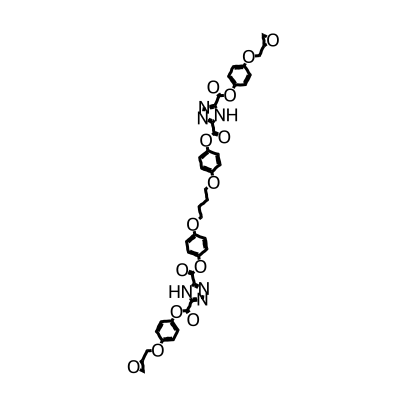 O=C(Oc1ccc(OCCCCOc2ccc(OC(=O)c3nnc(C(=O)Oc4ccc(OCC5CO5)cc4)[nH]3)cc2)cc1)c1nnc(C(=O)Oc2ccc(OCC3CO3)cc2)[nH]1